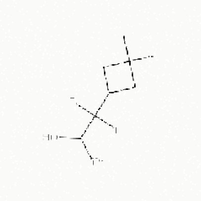 CC(C)C(O)C(F)(F)C1CC(C)(F)C1